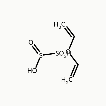 C=COC=C.O=S(O)S(=O)(=O)O